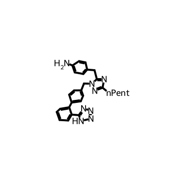 CCCCCc1nc(Cc2ccc(N)cc2)n(Cc2ccc(-c3ccccc3-c3nnn[nH]3)cc2)n1